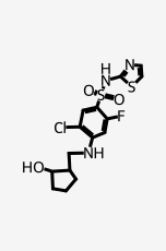 O=S(=O)(Nc1nccs1)c1cc(Cl)c(NCC2CCCC2O)cc1F